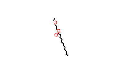 CCCCCCCCCCCC(=O)OCCCOCC